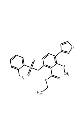 CCOC(=O)c1c(CS(=O)(=O)c2ccccc2C)ccc(-c2ccoc2)c1OC